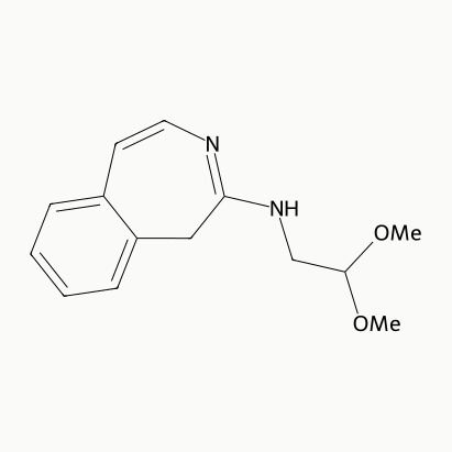 COC(CNC1=NC=Cc2ccccc2C1)OC